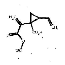 C=CC1CC1(C(=C)C(=O)OC(C)(C)C)C(=O)O